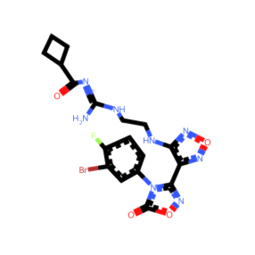 N/C(=N\C(=O)C1CCC1)NCCNc1nonc1-c1noc(=O)n1-c1ccc(F)c(Br)c1